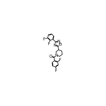 O=C(c1ccc(F)cc1F)N1CCCC(c2nc(-c3cccc(F)c3F)no2)C1